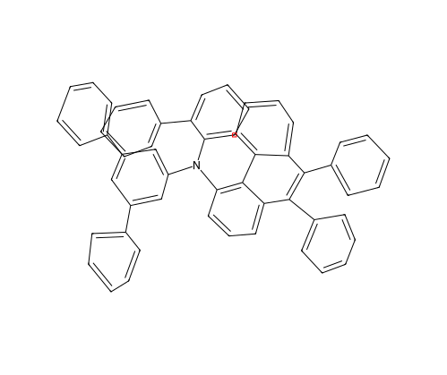 c1ccc(-c2cc(-c3ccccc3)cc(N(c3ccccc3-c3ccccc3)c3cccc4c(-c5ccccc5)c(-c5ccccc5)c5ccccc5c34)c2)cc1